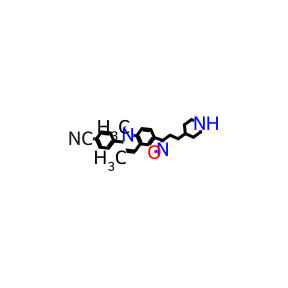 CC=Cc1c(N(C)Cc2ccc(C#N)cc2)ccc2c(CCC3CCNCC3)noc12